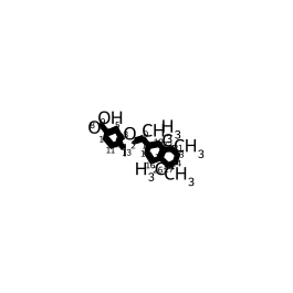 CC(=COc1cc(C(=O)O)ccc1I)c1ccc2c(c1)C(C)(C)CCC2(C)C